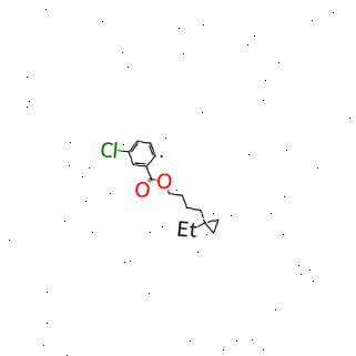 CCC1(CCCCOC(=O)c2[c]ccc(Cl)c2)CC1